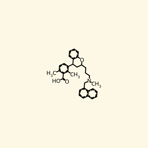 Cc1ccc(C2CC(CCCN(C)Cc3cccc4ccccc34)Oc3ccccc32)c(C)c1C(=O)O